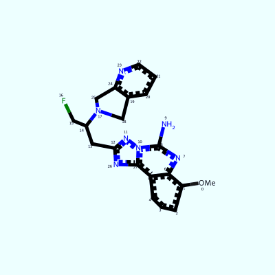 COc1cccc2c1nc(N)n1nc(CC(CF)N3Cc4cccnc4C3)nc21